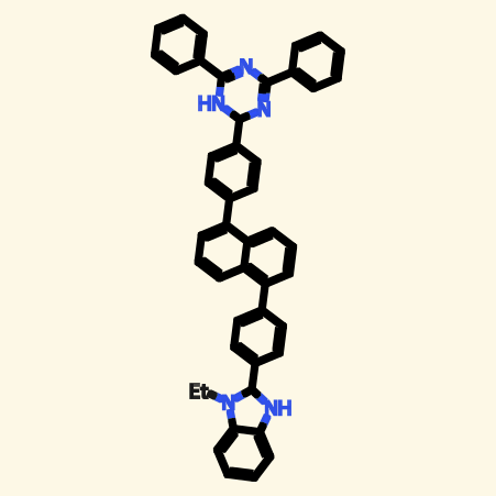 CCN1c2ccccc2NC1c1ccc(-c2cccc3c(-c4ccc(C5N=C(c6ccccc6)N=C(c6ccccc6)N5)cc4)cccc23)cc1